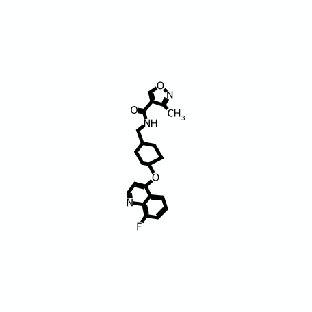 Cc1nocc1C(=O)NCC1CCC(Oc2ccnc3c(F)cccc23)CC1